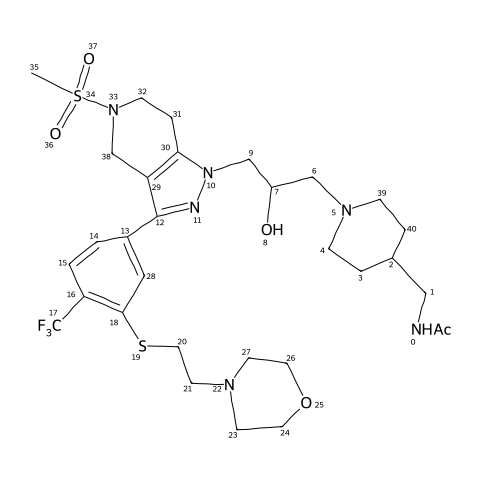 CC(=O)NCC1CCN(CC(O)Cn2nc(-c3ccc(C(F)(F)F)c(SCCN4CCOCC4)c3)c3c2CCN(S(C)(=O)=O)C3)CC1